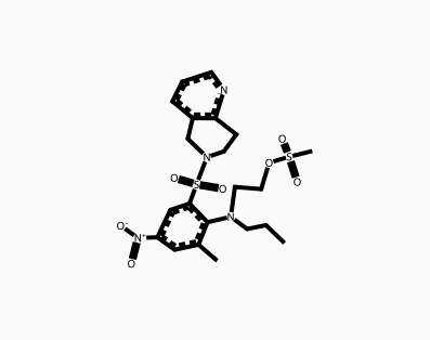 CCCN(CCOS(C)(=O)=O)c1c(C)cc([N+](=O)[O-])cc1S(=O)(=O)N1CCc2ncccc2C1